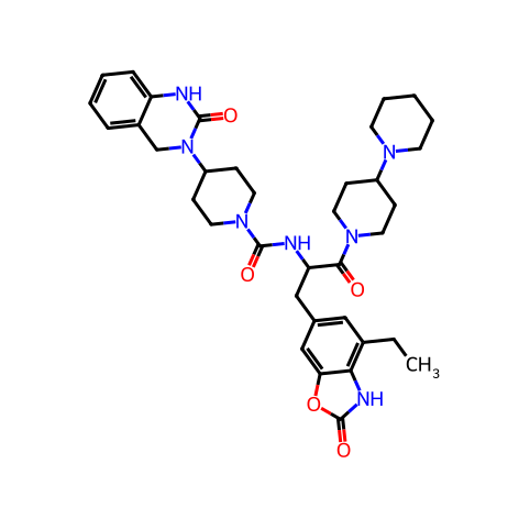 CCc1cc(CC(NC(=O)N2CCC(N3Cc4ccccc4NC3=O)CC2)C(=O)N2CCC(N3CCCCC3)CC2)cc2oc(=O)[nH]c12